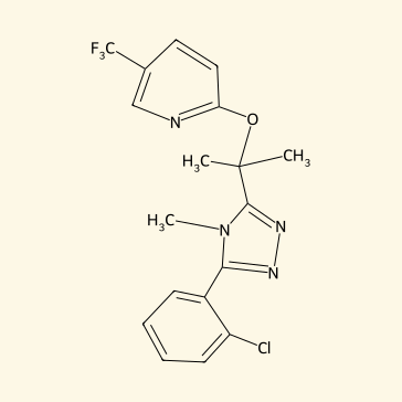 Cn1c(-c2ccccc2Cl)nnc1C(C)(C)Oc1ccc(C(F)(F)F)cn1